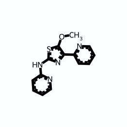 COc1sc(Nc2ccccn2)nc1-c1ccccn1